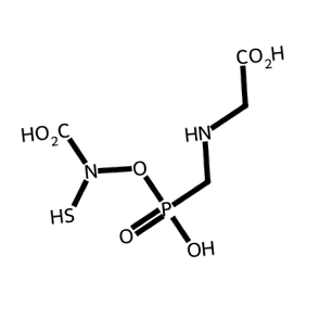 O=C(O)CNCP(=O)(O)ON(S)C(=O)O